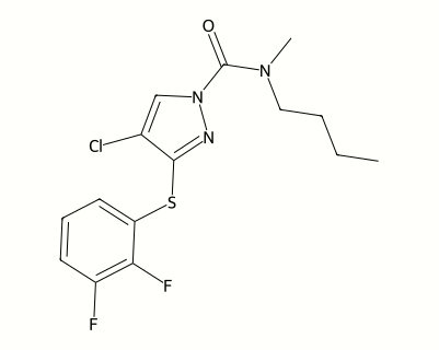 CCCCN(C)C(=O)n1cc(Cl)c(Sc2cccc(F)c2F)n1